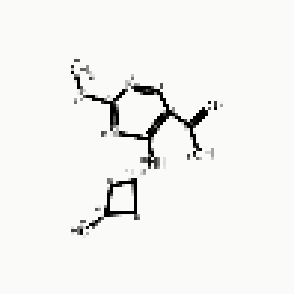 CSc1ncc(C(=O)O)c(N[C@H]2C[C@H](O)C2)n1